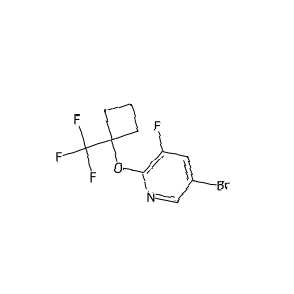 Fc1cc(Br)cnc1OC1(C(F)(F)F)CCC1